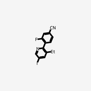 CCc1cc(I)cnc1-c1ccc(C#N)cc1F